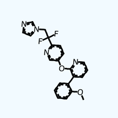 COc1ccccc1-c1cccnc1Oc1ccc(C(F)(F)Cn2ccnc2)nc1